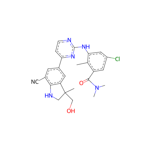 Cc1c(Nc2nccc(-c3cc(C#N)c4c(c3)C(C)(CO)CN4)n2)cc(Cl)cc1C(=O)N(C)C